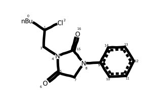 CCCCC(Cl)CN1C(=O)CN(c2ccccc2)C1=O